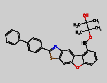 CC(C)(O)C(C)(C)OBc1cccc2oc3cc4sc(-c5ccc(-c6ccccc6)cc5)nc4cc3c12